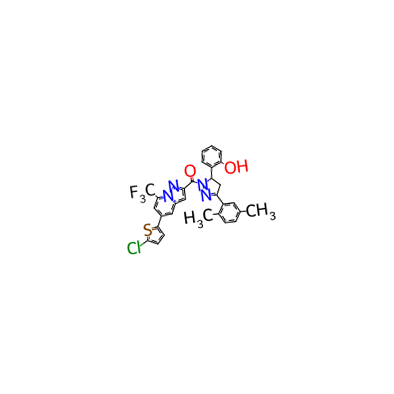 Cc1ccc(C)c(C2=NN(C(=O)c3cc4cc(-c5ccc(Cl)s5)cc(C(F)(F)F)n4n3)C(c3ccccc3O)C2)c1